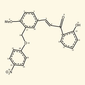 COc1ccc(C=CC(=O)c2ccccc2O)cc1COc1ccc([N+](=O)[O-])cc1